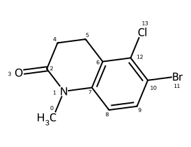 CN1C(=O)CCc2c1ccc(Br)c2Cl